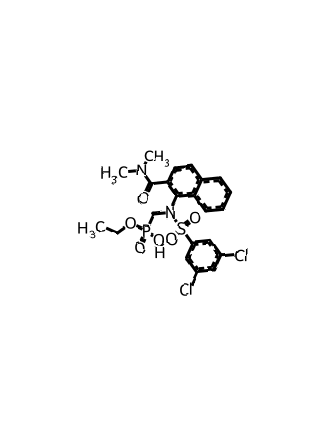 CCOP(=O)(O)CN(c1c(C(=O)N(C)C)ccc2ccccc12)S(=O)(=O)c1cc(Cl)cc(Cl)c1